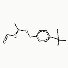 CC(O[C]=O)OCc1ccc(C(C)(C)C)cc1